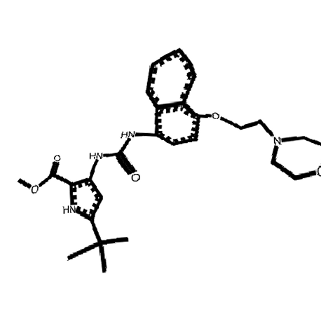 COC(=O)c1[nH]c(C(C)(C)C)cc1NC(=O)Nc1ccc(OCCN2CCOCC2)c2ccccc12